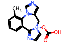 Cc1cccc2c1-n1cncc1C[N+]1(OC(=O)O)C=CN=C21